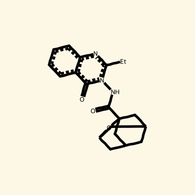 CCc1nc2ccccc2c(=O)n1NC(=O)C12CC3CC(CC(C3)O1)C2